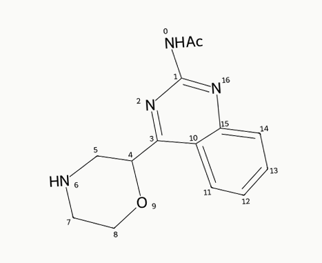 CC(=O)Nc1nc(C2CNCCO2)c2ccccc2n1